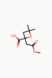 COC(=O)CC1(C(=O)O)CC(C)(C)O1